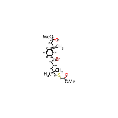 COC(=O)CSCC(C)(C)CCCC(Br)c1cccc(C(C)CC(=O)OC)c1